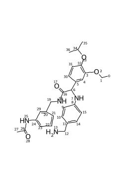 CCOc1cc(C(Nc2ccc(CN)cc2)C(=O)NCc2cccc(NC(C)=O)c2)ccc1OC(C)C